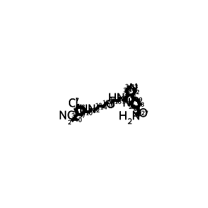 CC(C)(C#N)c1cc(Cl)cc(CNCCCCOCCNc2nc3cc(C(N)=O)ccc3c3cnccc23)c1